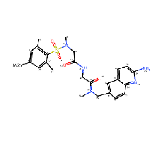 COc1cc(C)c(S(=O)(=O)N(C)CC(=O)NCC(=O)N(C)Cc2ccc3nc(N)ccc3c2)c(C)c1